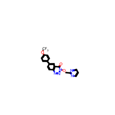 O=c1c2cc(-c3ccc(OC(F)(F)F)cc3)ccc2nnn1OCc1ncccn1